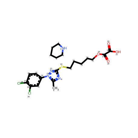 C1CCNCC1.Cc1nc(SCCCCCOC(=O)C(=O)O)nn1-c1ccc(Cl)c(Cl)c1